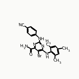 Cc1cc(C)c(Nc2nc(Nc3ccc(C#N)cc3)nc(C(N)=O)c2Br)c(C)c1